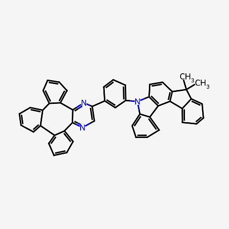 CC1(C)c2ccccc2-c2c1ccc1c2c2ccccc2n1-c1cccc(-c2cnc3c(n2)-c2ccccc2-c2ccccc2-c2ccccc2-3)c1